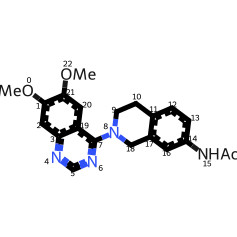 COc1cc2ncnc(N3CCc4ccc(NC(C)=O)cc4C3)c2cc1OC